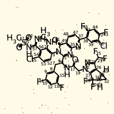 CNc1c(-n2c([C@H](Cc3cc(F)cc(F)c3)NC(=O)Cn3nc(C(F)F)c4c3C(F)(F)[C@@H]3C[C@H]43)nc3nc(-c4cc(Cl)c(F)cc4F)ccc3c2=O)ccc(Cl)c1C(=N)NS(C)(=O)=O